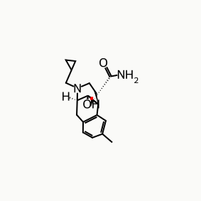 Cc1ccc2c(c1)[C@]13CCN(CC4CC4)[C@H](C2)[C@]1(O)C[C@@H](C(N)=O)C3